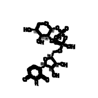 O=c1ccn([C@@H]2O[C@H](COP(=O)(O)OP(=O)(O)O[C@H]3OC[C@@H](O)[C@H](O)[C@H]3O)[C@@H](O)[C@H]2O)c(=O)[nH]1